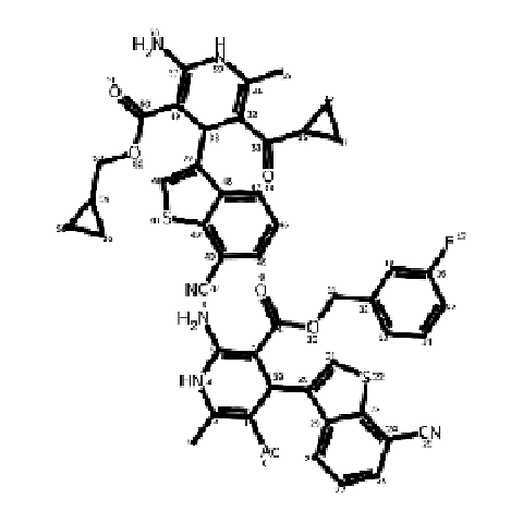 CC(=O)C1=C(C)NC(N)=C(C(=O)OCc2cccc(F)c2)C1c1csc2c(C#N)cccc12.CC1=C(C(=O)C2CC2)C(c2csc3c(C#N)cccc23)C(C(=O)OCC2CC2)=C(N)N1